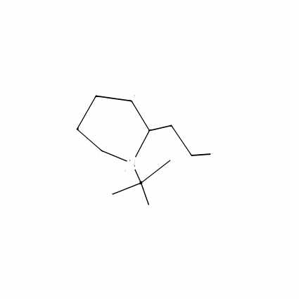 CC(C)(C)N1CCCCC1CCO